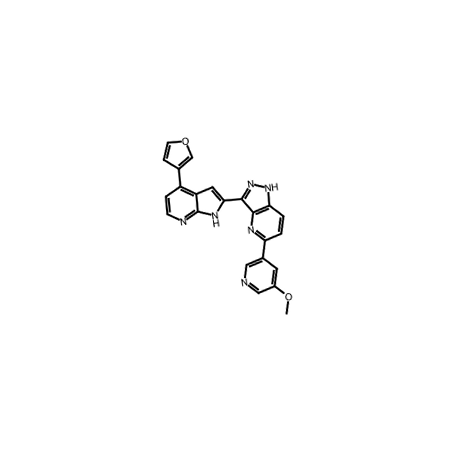 COc1cncc(-c2ccc3[nH]nc(-c4cc5c(-c6ccoc6)ccnc5[nH]4)c3n2)c1